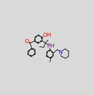 CCC(C)(Pc1ccc(C)cc1CN1CCCCC1)c1cc(C(=O)c2ccccc2)ccc1O